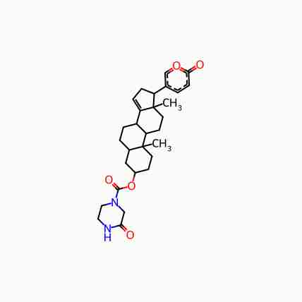 CC12CCC3C(CCC4CC(OC(=O)N5CCNC(=O)C5)CCC43C)C1=CCC2c1ccc(=O)oc1